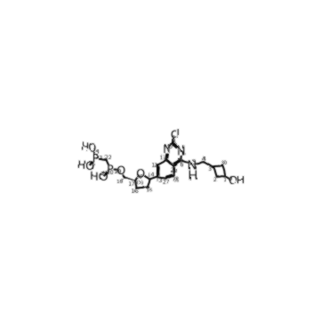 OC1CC(CNc2nc(Cl)nc3cc(C4CC[C@@H](COP(O)CP(O)O)O4)ccc23)C1